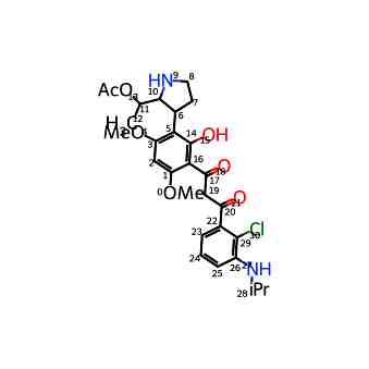 COc1cc(OC)c(C2CCNC2C(C)OC(C)=O)c(O)c1C(=O)CC(=O)c1cccc(NC(C)C)c1Cl